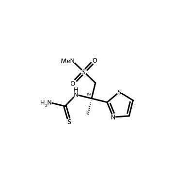 CNS(=O)(=O)C[C@](C)(NC(N)=S)c1nccs1